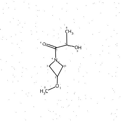 COC1CN(C(=O)C(C)O)C1